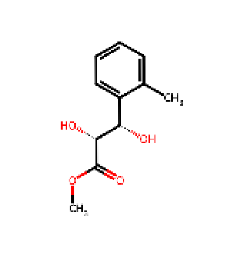 COC(=O)[C@H](O)[C@@H](O)c1ccccc1C